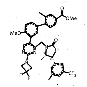 COC(=O)c1ccc(-c2ccc(OC)c(-c3cnc(N4CC(F)(F)C4)nc3CN3C(=O)O[C@H](c4cc(C)cc(C(F)(F)F)c4)[C@@H]3C)c2)c(C)c1